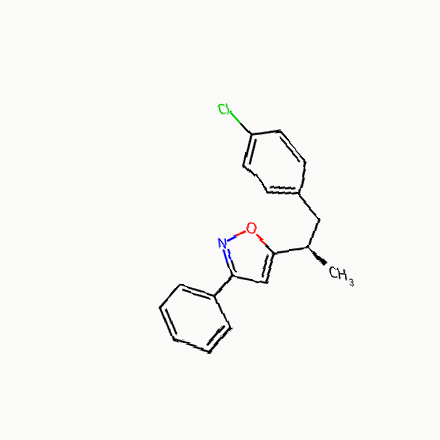 C[C@H](Cc1ccc(Cl)cc1)c1cc(-c2ccccc2)no1